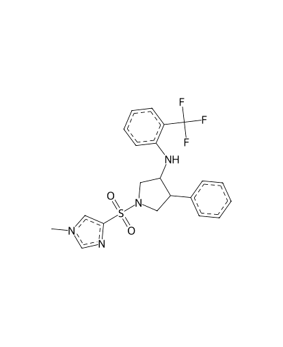 Cn1cnc(S(=O)(=O)N2CC(Nc3ccccc3C(F)(F)F)C(c3ccccc3)C2)c1